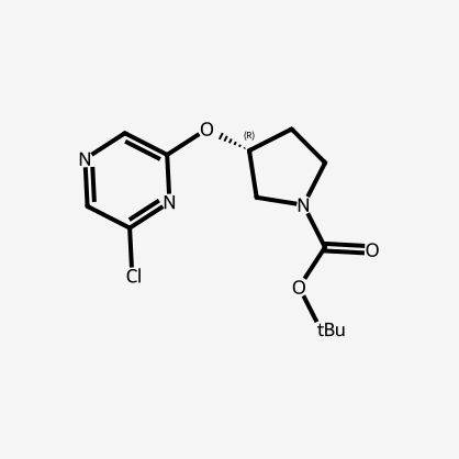 CC(C)(C)OC(=O)N1CC[C@@H](Oc2cncc(Cl)n2)C1